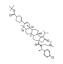 CC(C)C1=C2[C@H]3CC[C@@H]4[C@@]5(C)CC=C(C6=CCC(C(=O)OC(C)(C)C)CC6)C(C)(C)[C@@H]5CC[C@@]4(C)[C@]3(C)CC[C@@]2(C(=O)N(CCN(C)C)[C@H](C)c2ccc(Cl)cc2)CC1=O